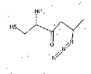 CC(CC(=O)[C@@H](N)CS)N=[N+]=[N-]